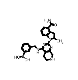 CC1Cc2c(C(N)=O)cccc2N1c1nc2c(c(NCc3cccc(B(O)O)c3)n1)CCNC2